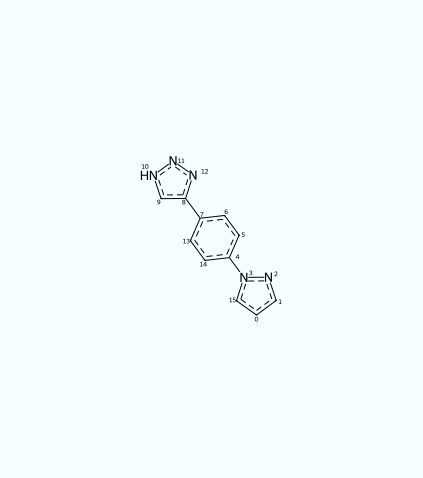 c1cnn(-c2ccc(-c3c[nH]nn3)cc2)c1